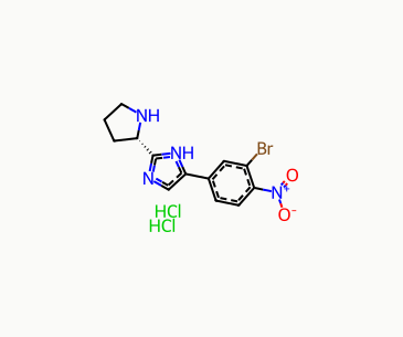 Cl.Cl.O=[N+]([O-])c1ccc(-c2cnc([C@@H]3CCCN3)[nH]2)cc1Br